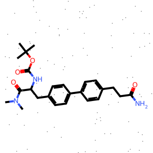 CN(C)C(=O)C(Cc1ccc(-c2ccc(CCC(N)=O)cc2)cc1)NC(=O)OC(C)(C)C